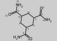 NC(=O)C1CC(C(N)=O)CC(C(N)=O)C1